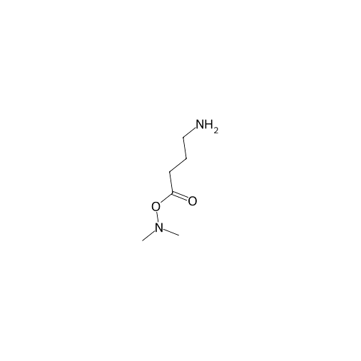 CN(C)OC(=O)CCCN